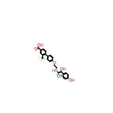 C[C@@H](NCCOc1ccc(-c2ccc(C(=O)O)cc2C(F)(F)F)cc1)[C@@H](O)c1ccc(O)cc1